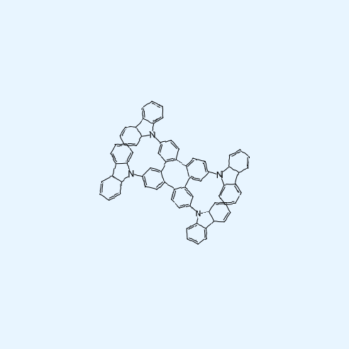 C1=CC2c3ccccc3N(c3ccc4c(c3)-c3cc(N5c6ccccc6C6C=CC=CC65)ccc3-c3ccc(N5c6ccccc6C6C=CC=CC65)cc3-c3cc(N5c6ccccc6C6C=CC=CC65)ccc3-4)C2C=C1